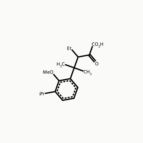 CCC(C(=O)C(=O)O)C(C)(C)c1cccc(C(C)C)c1OC